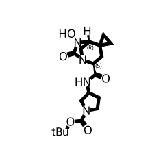 CC(C)(C)OC(=O)N1CCC(NC(=O)[C@@H]2CC3(CC3)[C@@H]3CN2C(=O)N3O)C1